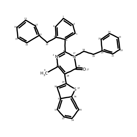 Cc1nc(-c2ccccc2Cc2ccccc2)n(CCc2ccccc2)c(=O)c1-c1cc2ccccc2s1